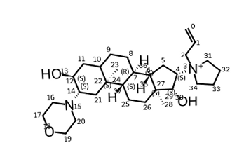 C=CC[N+]1([C@H]2C[C@H]3[C@@H]4CCC5C[C@H](O)[C@@H](N6CCOCC6)C[C@]5(C)[C@H]4CC[C@]3(C)[C@H]2O)CCCC1